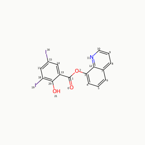 O=C(Oc1cccc2cccnc12)c1cc(I)cc(I)c1O